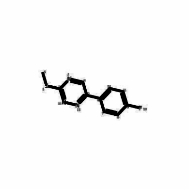 CSc1ncc(-c2ccc(F)cc2)nn1